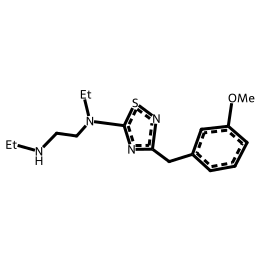 CCNCCN(CC)c1nc(Cc2cccc(OC)c2)ns1